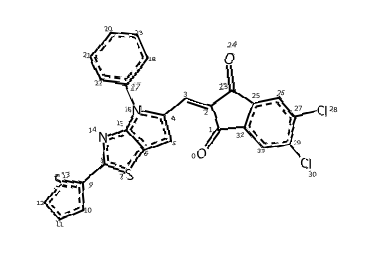 O=C1C(=Cc2cc3sc(-c4cccs4)nc3n2-c2ccccc2)C(=O)c2cc(Cl)c(Cl)cc21